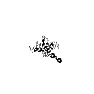 COCCCNC1NC(C(C)(C)C)NCC1C(O)N(CC(C)C)[C@H]1C[C@@H](C(O)N2CCC(OCC3CC=CCC3)CC2)CN(C(=O)OC(C)(C)C)C1